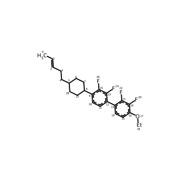 C/C=C/CCC1CCC(c2ccc(-c3ccc(OCC)c(F)c3F)c(F)c2F)CC1